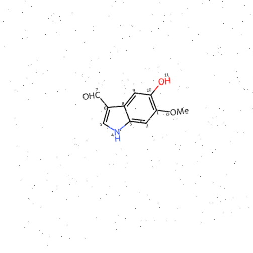 COc1cc2[nH]cc(C=O)c2cc1O